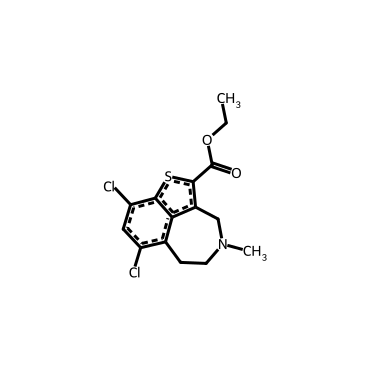 CCOC(=O)c1sc2c(Cl)cc(Cl)c3c2c1CN(C)CC3